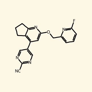 N#Cc1ncc(-c2cc(OCc3cccc(F)n3)nc3c2CCC3)cn1